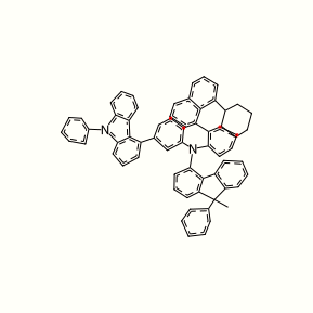 CC1(c2ccccc2)c2ccccc2-c2c(N(c3cccc(-c4cccc5c4c4ccccc4n5-c4ccccc4)c3)c3ccccc3-c3cccc4cccc(C5CCCCC5)c34)cccc21